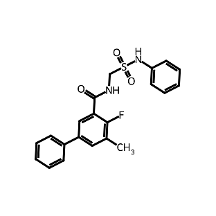 Cc1cc(-c2ccccc2)cc(C(=O)NCS(=O)(=O)Nc2ccccc2)c1F